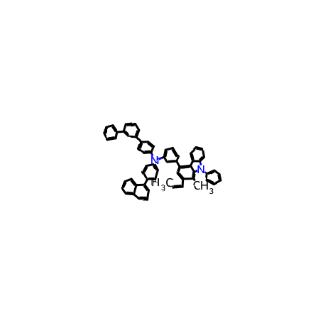 C/C=C\c1cc(-c2cccc(N(c3ccc(-c4cccc(-c5ccccc5)c4)cc3)c3ccc(-c4cccc5ccccc45)cc3)c2)c2c3ccccc3n(-c3ccccc3)c2c1C